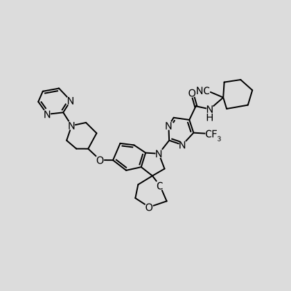 N#CC1(NC(=O)c2cnc(N3CC4(CCOCC4)c4cc(OC5CCN(c6ncccn6)CC5)ccc43)nc2C(F)(F)F)CCCCC1